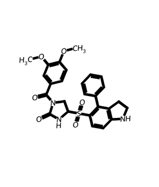 COc1ccc(C(=O)N2CC(S(=O)(=O)c3ccc4c(c3-c3ccccc3)CCN4)NC2=O)cc1OC